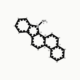 Nn1c2ccccc2c2ccc3c4ccccc4ccc3c21